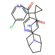 NC(=O)c1ccc(N2C3CCC2CC(NC(=O)C2(c4cccc(Cl)c4)CC2)C3)nc1